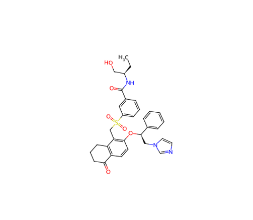 CC[C@H](CO)NC(=O)c1cccc(S(=O)(=O)Cc2c(O[C@H](Cn3ccnc3)c3ccccc3)ccc3c2CCCC3=O)c1